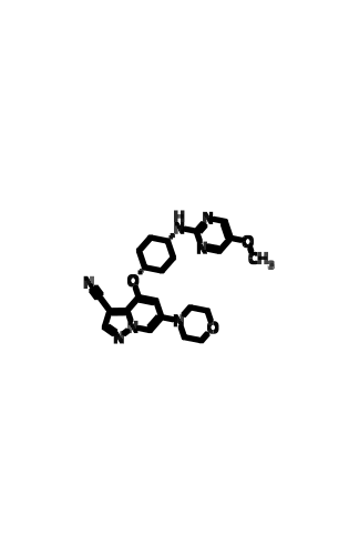 COc1cnc(N[C@H]2CC[C@@H](Oc3cc(N4CCOCC4)cn4ncc(C#N)c34)CC2)nc1